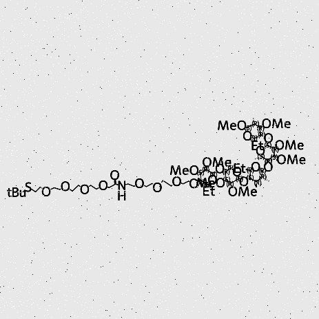 CC[C@H]1O[C@H](O[C@H]2[C@H](OC)[C@@H](OC)[C@H](O[C@H]3[C@H](OC)[C@@H](C)[C@@H](OC)O[C@@H]3CC)O[C@H]2C)[C@H](C)[C@@H](C)[C@@H]1O[C@@H]1O[C@H](C)[C@@H](O[C@H]2O[C@H](CC)[C@@H](OCCOCCOCCOCCNC(=O)COCCOCCOCCOCCSC(C)(C)C)[C@H](OC)[C@H]2OC)[C@H](OC)[C@H]1OC